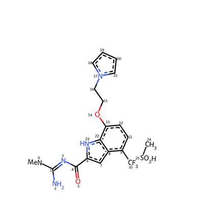 CNC(N)=NC(=O)c1cc2c(C(F)(F)F)ccc(OCCn3cccc3)c2[nH]1.CS(=O)(=O)O